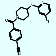 N#Cc1ccc(C(=O)N2CCC(Nc3cc(Cl)ccn3)CC2)cc1